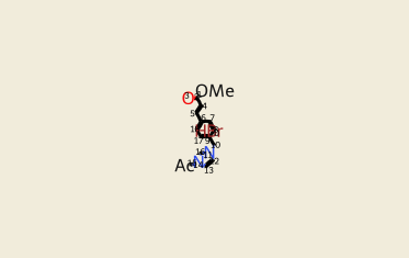 Br.COC(=O)C=Cc1ccc(CN2C=CN(C(C)=O)C2)cc1